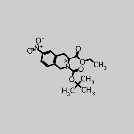 CCOC(=O)[C@@H]1Cc2cc([N+](=O)[O-])ccc2CN1C(=O)OC(C)(C)C